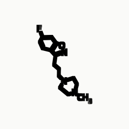 CN1CCN(CCCc2noc3cc(F)ccc23)CC1